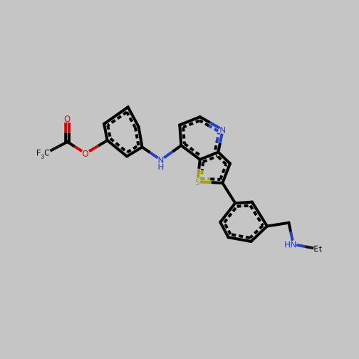 CCNCc1cccc(-c2cc3nccc(Nc4cccc(OC(=O)C(F)(F)F)c4)c3s2)c1